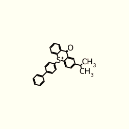 CC(C)c1ccc2c(c1)c(=O)c1ccccc1[s+]2-c1ccc(-c2ccccc2)cc1